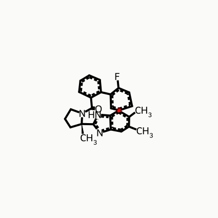 Cc1cc2nc([C@]3(C)CCCN3C(=O)c3ccccc3-c3ccccc3F)[nH]c2cc1C